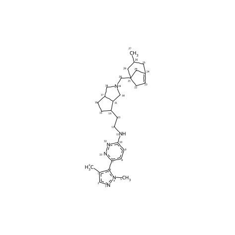 Cc1cnn(C)c1-c1ccc(NCCC2CCC3CN(CC45CC=C(CC(C)C4)C5)CC23)nn1